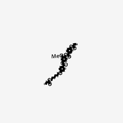 C=CC(=O)OCCCCCCOc1ccc(C(=O)Oc2ccc(OC(=O)c3ccc(OC(=O)C=C)cc3)c(OC)c2)cc1